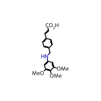 COc1cc(NCc2ccc(/C=C/C(=O)O)cc2)cc(OC)c1OC